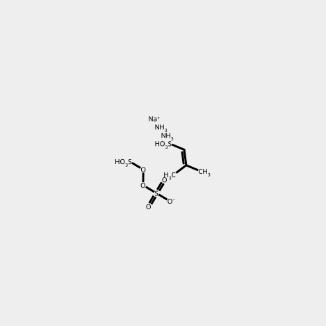 CC(C)=CS(=O)(=O)O.N.N.O=S(=O)([O-])OOS(=O)(=O)O.[Na+]